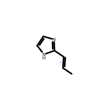 [CH2]/C=C/c1ncc[nH]1